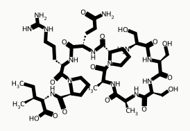 CC[C@H](C)[C@H](NC(=O)[C@@H]1CCCN1C(=O)[C@H](CCCNC(=N)N)NC(=O)[C@H](CCC(N)=O)NC(=O)[C@@H]1CCCN1C(=O)[C@H](C)NC(=O)[C@H](C)NC(=O)[C@H](CO)NC(=O)[C@H](CO)NC(=O)[C@@H](N)CO)C(=O)O